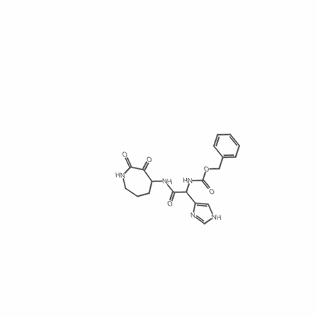 O=C(NC(C(=O)NC1CCCNC(=O)C1=O)c1c[nH]cn1)OCc1ccccc1